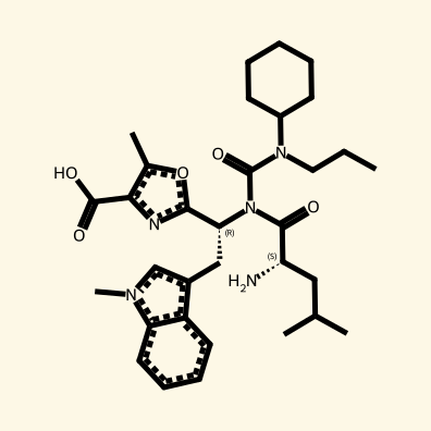 CCCN(C(=O)N(C(=O)[C@@H](N)CC(C)C)[C@H](Cc1cn(C)c2ccccc12)c1nc(C(=O)O)c(C)o1)C1CCCCC1